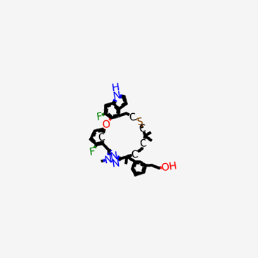 Cn1nc2nc1-c1cc(ccc1F)Oc1c(F)cc3[nH]ccc3c1CCSCC(C)(C)CCCC2(C)c1cccc(CCO)c1